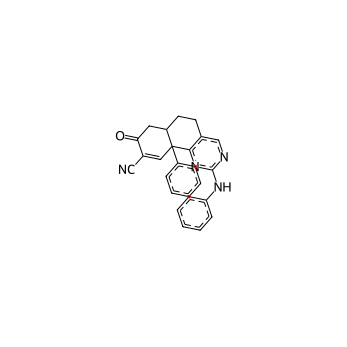 N#CC1=CC2(c3ccccc3)c3nc(Nc4ccccc4)ncc3CCC2CC1=O